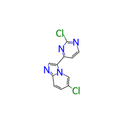 Clc1ccc2ncc(-c3ccnc(Cl)n3)n2c1